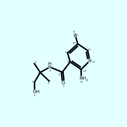 CC(C)(CO)NC(=O)c1cc(Br)cnc1N